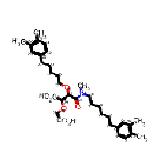 Cc1ccc(CCCCCCN(C)C(=O)C(OCCCCCc2ccc(C)c(C)c2)C(OCC(=O)O)C(=O)O)cc1C